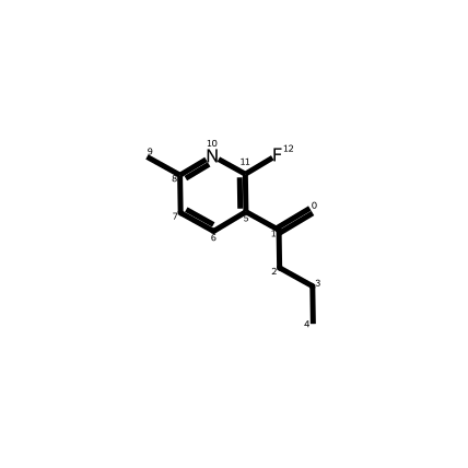 C=C(CCC)c1ccc(C)nc1F